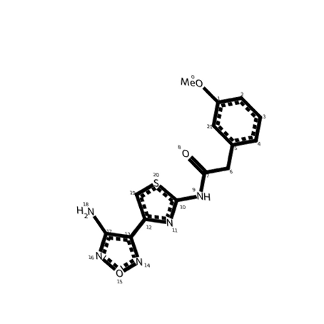 COc1cccc(CC(=O)Nc2nc(-c3nonc3N)cs2)c1